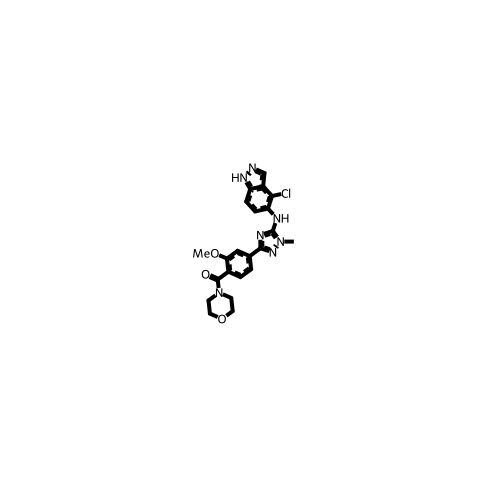 COc1cc(-c2nc(Nc3ccc4[nH]ncc4c3Cl)n(C)n2)ccc1C(=O)N1CCOCC1